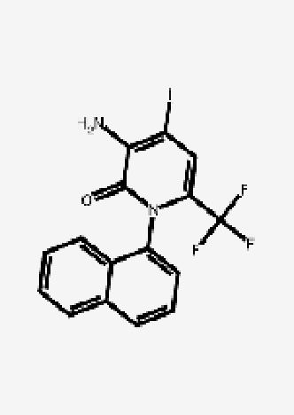 Nc1c(I)cc(C(F)(F)F)n(-c2cccc3ccccc23)c1=O